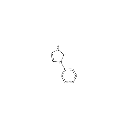 [C]1NC=CN1c1ccccc1